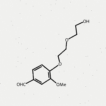 COc1cc(C=O)ccc1OCCOCCO